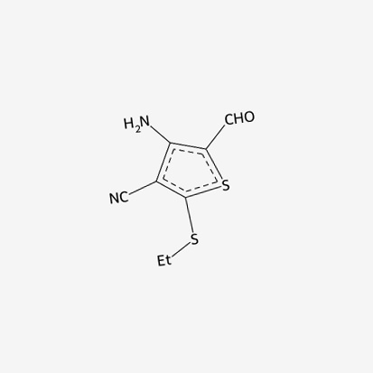 CCSc1sc(C=O)c(N)c1C#N